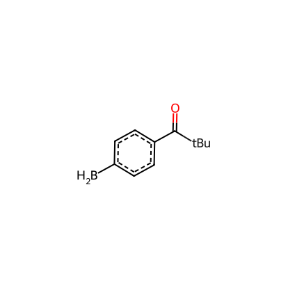 Bc1ccc(C(=O)C(C)(C)C)cc1